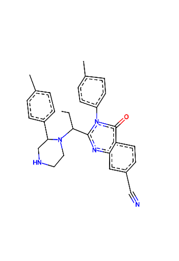 CCC(c1nc2cc(C#N)ccc2c(=O)n1-c1ccc(C)cc1)N1CCNCC1c1ccc(C)cc1